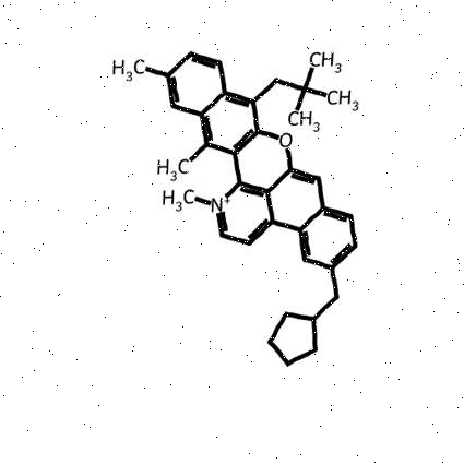 Cc1ccc2c(CC(C)(C)C)c3c(c(C)c2c1)-c1c2c(cc4ccc(CC5CCCC5)cc4c2cc[n+]1C)O3